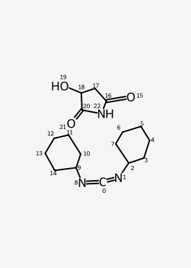 C(=NC1CCCCC1)=NC1CCCCC1.O=C1CC(O)C(=O)N1